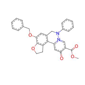 COC(=O)c1cn2c(cc1=O)-c1c(cc(OCc3ccccc3)c3c1CCO3)CN2c1ccccc1